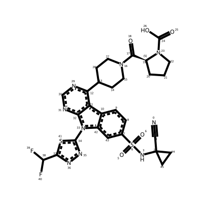 N#CC1(NS(=O)(=O)c2ccc3c4c(C5CCN(C(=O)[C@@H]6CCCN6C(=O)O)CC5)ncnc4n(-c4nnc(C(F)F)s4)c3c2)CC1